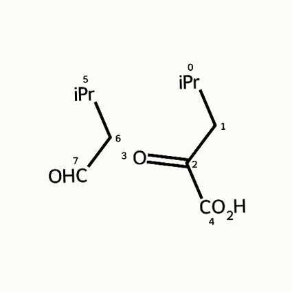 CC(C)CC(=O)C(=O)O.CC(C)CC=O